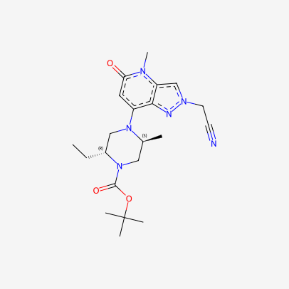 CC[C@@H]1CN(c2cc(=O)n(C)c3cn(CC#N)nc23)[C@@H](C)CN1C(=O)OC(C)(C)C